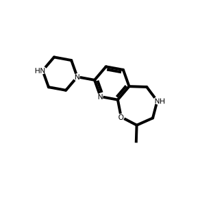 CC1CNCc2ccc(N3CCNCC3)nc2O1